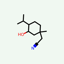 CC(C)C1CCC(C)(CC#N)CC1O